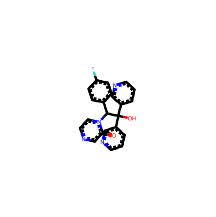 O=c1cnccn1C(c1ccc(F)cc1)C(O)(c1cccnc1)c1cccnc1